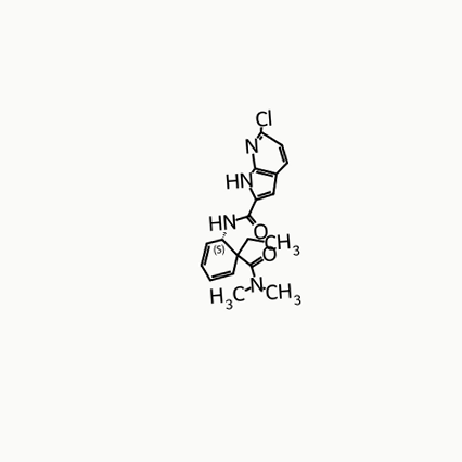 CCC1(C(=O)N(C)C)C=CC=C[C@@H]1NC(=O)c1cc2ccc(Cl)nc2[nH]1